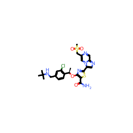 C[C@@H](Oc1nc(-c2cnc3cnc(CS(C)(=O)=O)cn23)sc1C(N)=O)c1ccc(CNC(C)(C)C)cc1Cl